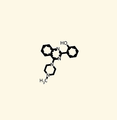 CN1CCN(c2nc(-c3ccccc3O)nc3ccccc23)CC1